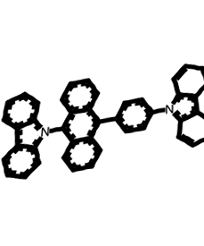 C1=Cc2c(c3c(n2-c2ccc(-c4c5ccccc5c(-n5c6ccccc6c6ccccc65)c5ccccc45)cc2)C=CCC3)CC1